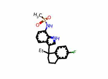 CCC1(c2c[nH]c3c(NS(C)(=O)=O)cccc23)CCCc2cc(F)ccc21